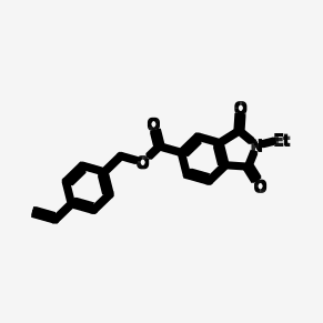 C=Cc1ccc(COC(=O)c2ccc3c(c2)C(=O)N(CC)C3=O)cc1